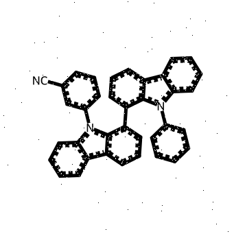 N#Cc1cccc(-n2c3ccccc3c3cccc(-c4cccc5c6ccccc6n(-c6ccccc6)c45)c32)c1